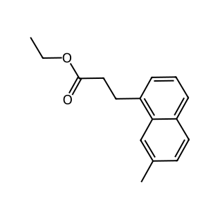 CCOC(=O)CCc1cccc2ccc(C)cc12